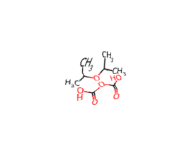 CC(C)OC(C)C.O=C(O)OC(=O)O